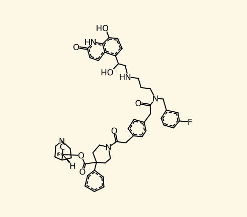 O=C(Cc1ccc(CC(=O)N(CCCNCC(O)c2ccc(O)c3[nH]c(=O)ccc23)Cc2cccc(F)c2)cc1)N1CCC(C(=O)O[C@H]2CN3CCC2CC3)(c2ccccc2)CC1